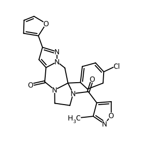 Cc1nocc1C(=O)N1CCN2C(=O)c3cc(-c4ccco4)nn3CC12C1=CC=C(Cl)CC1